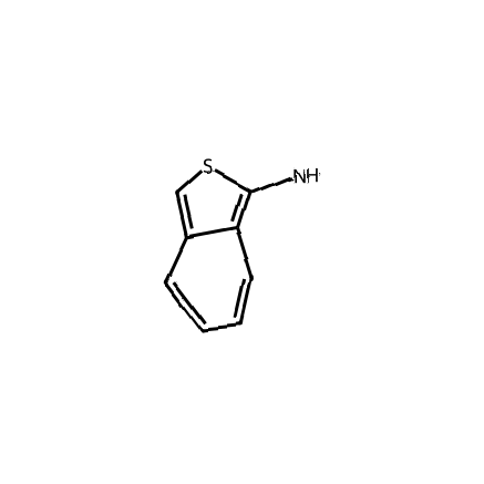 [NH]c1scc2ccccc12